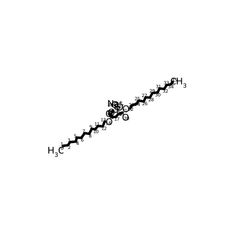 CCCCCCCCCCCCCCOC(=O)CC(C(=O)OCCCCCCCCCCCCCC)S(=O)(=O)[O-].[Na+]